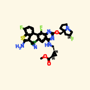 COC(=O)[C@@H]1C[C@H]1CNc1nc(OC[C@@]23CCCN2C[C@H](F)C3)nc2c(F)c(-c3ccc(F)c4sc(N)c(C#N)c34)c(Cl)cc12